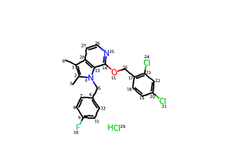 Cc1c(C)n(Cc2ccc(F)cc2)c2c(OCc3ccc(Cl)cc3Cl)nccc12.Cl